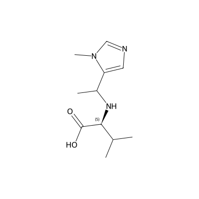 CC(N[C@H](C(=O)O)C(C)C)c1cncn1C